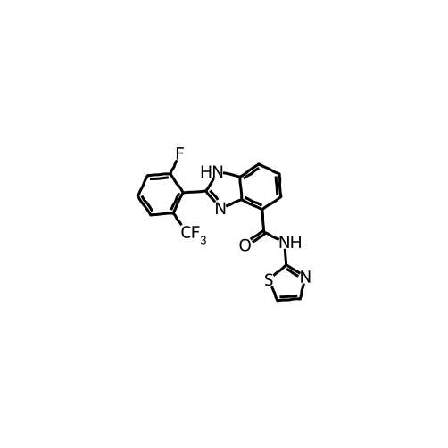 O=C(Nc1nccs1)c1cccc2[nH]c(-c3c(F)cccc3C(F)(F)F)nc12